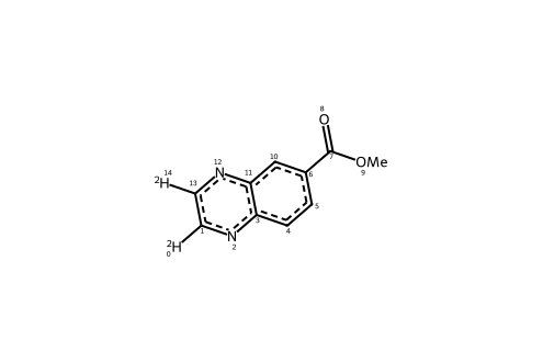 [2H]c1nc2ccc(C(=O)OC)cc2nc1[2H]